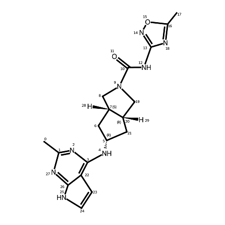 Cc1nc(N[C@@H]2C[C@@H]3CN(C(=O)Nc4noc(C)n4)C[C@@H]3C2)c2cc[nH]c2n1